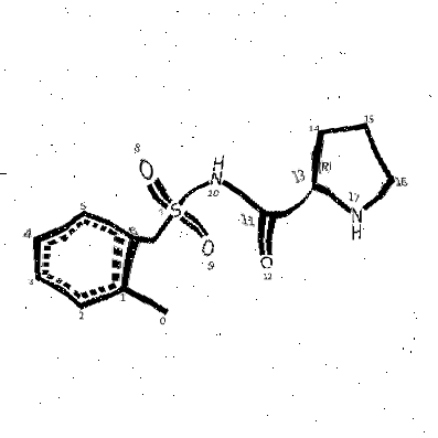 Cc1ccccc1S(=O)(=O)NC(=O)[C@H]1CCCN1